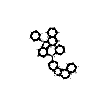 c1ccc(N(c2ccc3sc4ccc5ccccc5c4c3c2)c2cccc3c2c2ccc4ccccc4c2n3-c2ccccc2)cc1